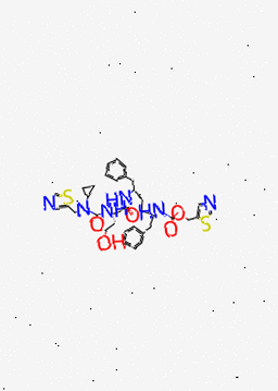 O=C(N[C@H](CC[C@H](Cc1ccccc1)NC(=O)[C@H](CCO)NC(=O)N(Cc1cncs1)C1CC1)Cc1ccccc1)OCc1cncs1